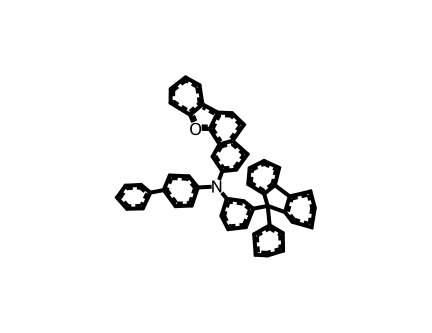 c1ccc(-c2ccc(N(c3cccc(C4(c5ccccc5)c5ccccc5-c5ccccc54)c3)c3ccc4ccc5c6ccccc6oc5c4c3)cc2)cc1